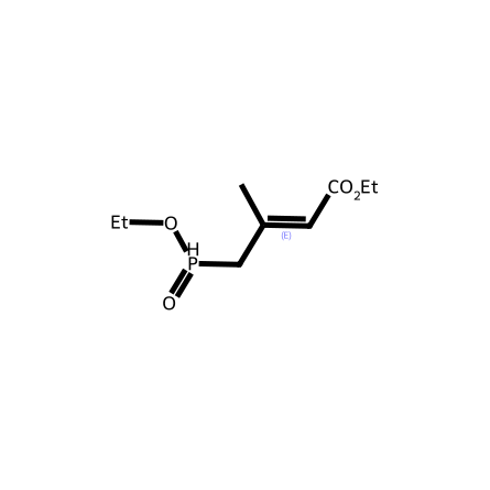 CCOC(=O)/C=C(\C)C[PH](=O)OCC